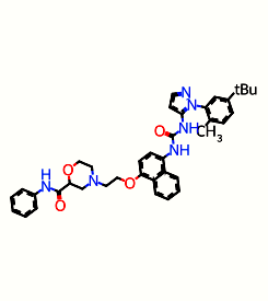 Cc1ccc(C(C)(C)C)cc1-n1nccc1NC(=O)Nc1ccc(OCCN2CCOC(C(=O)Nc3ccccc3)C2)c2ccccc12